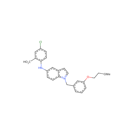 COCCOc1cccc(Cn2ccc3cc(Nc4ccc(Cl)cc4C(=O)O)ccc32)c1